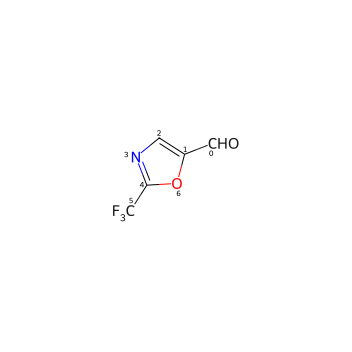 O=Cc1cnc(C(F)(F)F)o1